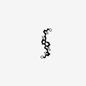 O=Cc1ccc(-c2cc3c(ccc4c5cc(-c6ccc(C=O)s6)sc5ccc34)s2)s1